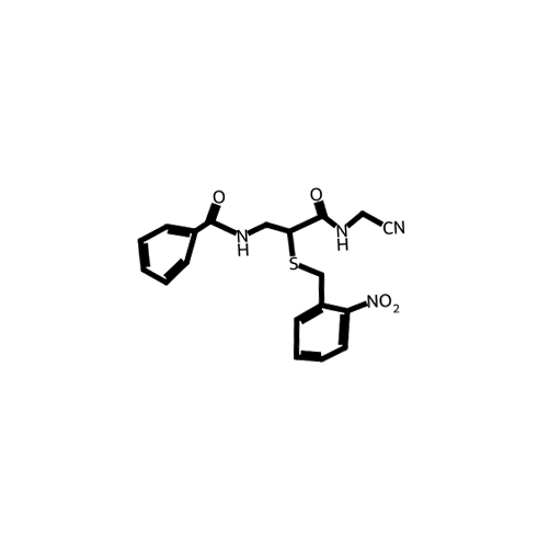 N#CCNC(=O)C(CNC(=O)c1ccccc1)SCc1ccccc1[N+](=O)[O-]